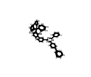 c1ccc(-c2ccc(-c3nc(-c4ccccc4)nc(-c4ccc5sc6ccc7c(c6c5c4)Sc4ccccc4C74c5ccccc5-c5ccccc54)n3)cc2)cc1